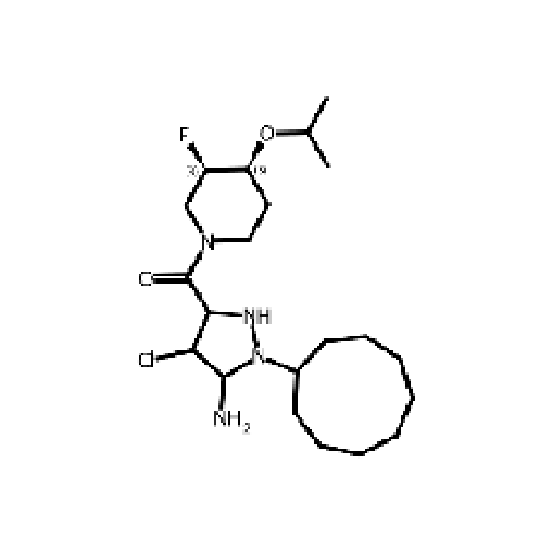 CC(C)O[C@H]1CCN(C(=O)C2NN(C3CCCCCCCC3)C(N)C2Cl)C[C@H]1F